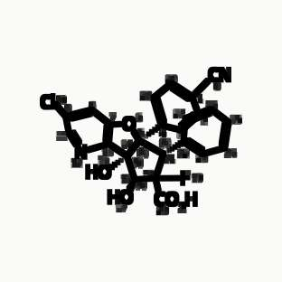 N#Cc1ccc([C@@]23Oc4cc(Cl)cnc4[C@]2(O)[C@H](O)C(F)(C(=O)O)[C@H]3c2ccccc2)cc1